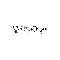 N=C(N)N1CCN(CC(=O)N2CCN(CC(=O)O)CC2)CC1